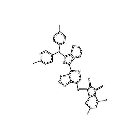 Cc1ccc(N(c2ccc(C)cc2)c2sc(-c3ncc(/N=c4\c(=O)c(=O)c5c(F)cc(F)cc45)c4nsnc34)c3ccccc23)cc1